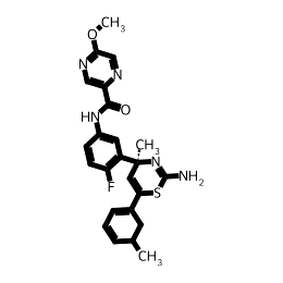 COc1cnc(C(=O)Nc2ccc(F)c([C@]3(C)C=C(C4=CC=CC(C)C4)SC(N)=N3)c2)cn1